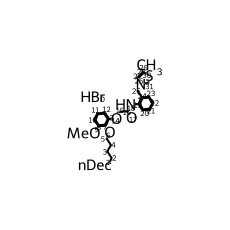 Br.CCCCCCCCCCCCCCOc1c(OC)cccc1OCC(=O)Nc1ccccc1CN1C=C(C)SC1